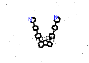 CC1(C)c2c(-c3ccc(-c4ccc(-c5cccnc5)cc4)cc3)cccc2-c2cccc(-c3ccc(-c4ccc(-c5cccnc5)cc4)cc3)c21